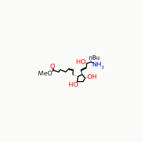 CCCC[C@H](N)[C@@H](O)/C=C/[C@@H]1[C@@H](C/C=C\CCCC(=O)OC)[C@@H](O)C[C@H]1O